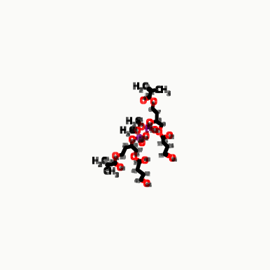 C=C(C)C(=O)OCCC(COC(=O)CCC=O)OP(=O)(OC)OP(=O)(OC)OC(CCOC(=O)C(=C)C)COC(=O)CCC=O